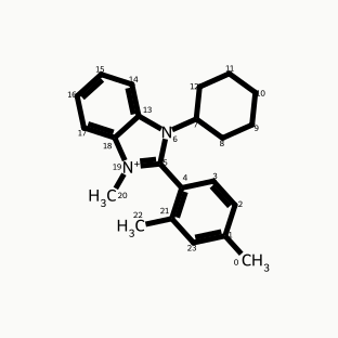 Cc1ccc(-c2n(C3CCCCC3)c3ccccc3[n+]2C)c(C)c1